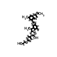 COc1cnc2c(-c3nc4cc(F)c5c(c4s3)[C@@H](C)[C@H](CN(C(=O)O)c3cnc(OCCO)nc3)O5)cc(C)cc2n1